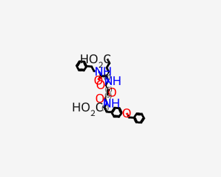 O=C(O)CCC[C@@H](NC(=O)[C@H]1O[C@@H]1C(=O)N[C@@H](Cc1ccc(OCc2ccccc2)cc1)C(=O)O)C(=O)NCCc1ccccc1